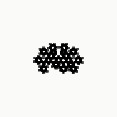 c1ccc(-c2cccc(-c3ccccc3)c2N2c3cc4c(cc3B3c5sc6ccccc6c5N(c5ccccc5)c5cc(N(c6ccccc6)c6ccccc6)cc2c53)B2c3sc5ccccc5c3N(c3ccccc3)c3cc(N(c5ccccc5)c5ccccc5)cc(c32)O4)cc1